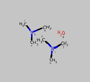 CN(C)C.CN(C)C.O